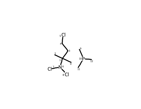 CC(C)(CCCl)N(Cl)Cl.CP(C)C